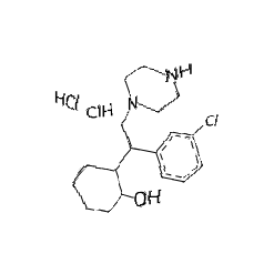 Cl.Cl.OC1CCCCC1C(CN1CCNCC1)c1cccc(Cl)c1